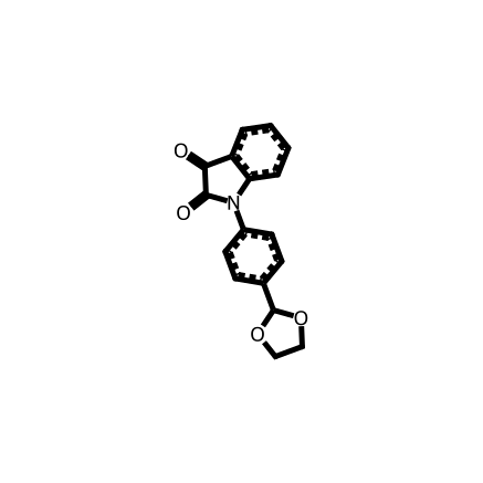 O=C1C(=O)N(c2ccc(C3OCCO3)cc2)c2ccccc21